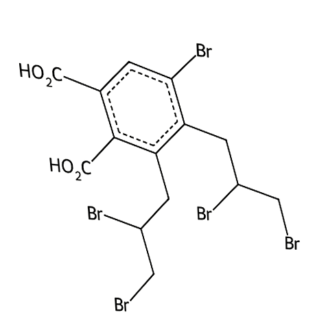 O=C(O)c1cc(Br)c(CC(Br)CBr)c(CC(Br)CBr)c1C(=O)O